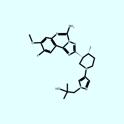 COc1cc2nc(N)n3nc([C@H]4CN(c5cnn(CC(C)(C)O)c5)CC[C@H]4C)nc3c2cc1F